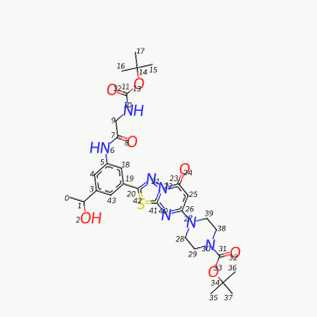 CC(O)c1cc(NC(=O)CNC(=O)OC(C)(C)C)cc(-c2nn3c(=O)cc(N4CCN(C(=O)OC(C)(C)C)CC4)nc3s2)c1